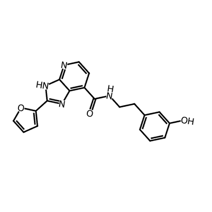 O=C(NCCc1cccc(O)c1)c1ccnc2[nH]c(-c3ccco3)nc12